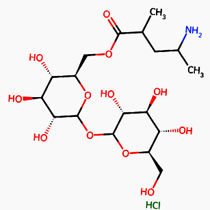 CC(N)CC(C)C(=O)OC[C@H]1OC(OC2O[C@H](CO)[C@@H](O)[C@H](O)[C@H]2O)[C@H](O)[C@@H](O)[C@@H]1O.Cl